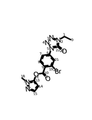 CCn1nnn(-c2ccc(C(=O)Oc3ccnn3C)c(Br)c2)c1=O